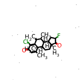 C=C1C2=C(Cl)C(=O)C=C(C)[C@]2(C)[C@H]2CC[C@]3(C)C(=O)C(F)C[C@H]3[C@@H]2C1C